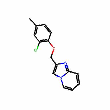 Cc1ccc(OCc2cn3ccccc3n2)c(Cl)c1